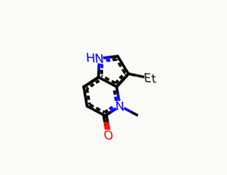 CCc1c[nH]c2ccc(=O)n(C)c12